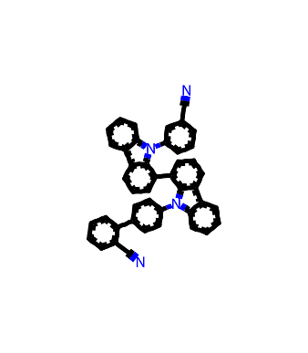 N#Cc1cccc(-n2c3ccccc3c3cccc(-c4cccc5c6ccccc6n(-c6ccc(-c7ccccc7C#N)cc6)c45)c32)c1